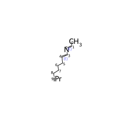 C/C=N/C=C/CCCCC(C)C